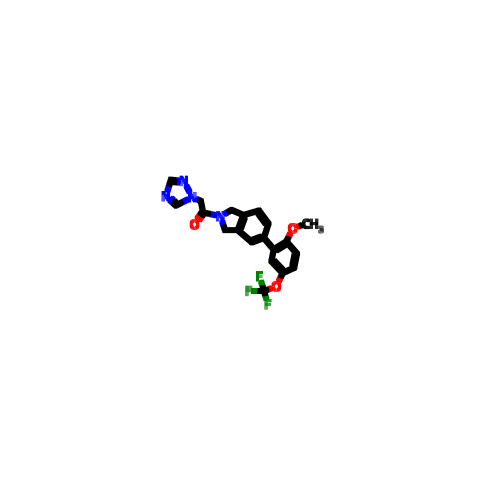 COc1ccc(OC(F)(F)F)cc1-c1ccc2c(c1)CN(C(=O)Cn1cncn1)C2